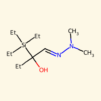 CCC(O)(C=NN(C)C)[Si](CC)(CC)CC